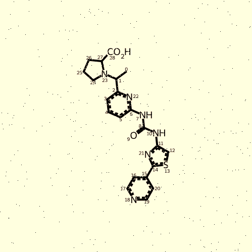 CC(c1cccc(NC(=O)Nc2csc(-c3ccncc3)n2)n1)N1CCCC1C(=O)O